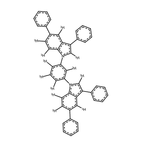 [2H]c1c([2H])c(-n2c([2H])c(-c3ccccc3)c3c([2H])c(-c4ccccc4)c([2H])c([2H])c32)c([2H])c(-n2c([2H])c(-c3ccccc3)c3c([2H])c(-c4ccccc4)c([2H])c([2H])c32)c1[2H]